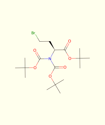 CC(C)(C)OC(=O)[C@H](CCBr)N(C(=O)OC(C)(C)C)C(=O)OC(C)(C)C